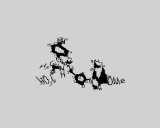 COc1nc(N)nc2c1ncn2[C@H]1C=C[C@@H](COP(=O)(N[C@H](C)C(=O)O)Oc2ccc(Br)cc2)C1